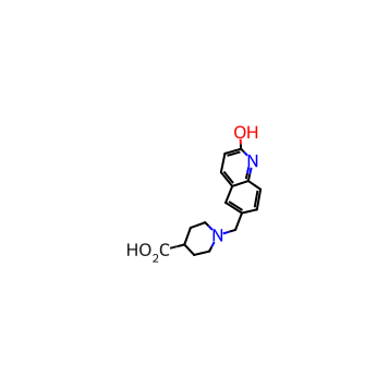 O=C(O)C1CCN(Cc2ccc3nc(O)ccc3c2)CC1